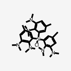 Cc1cc(N(C)C)c(N(C)C)c([Si](Cl)(c2cc(C)cc(N(C)C)c2N(C)C)c2cc(C)cc(N(C)C)c2N(C)C)c1